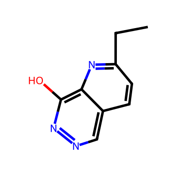 CCc1ccc2cnnc(O)c2n1